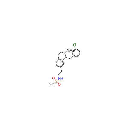 CCCS(=O)(=O)NCCc1ccc2c(c1)C(Cc1cccc(Cl)c1)C(NC)CC2